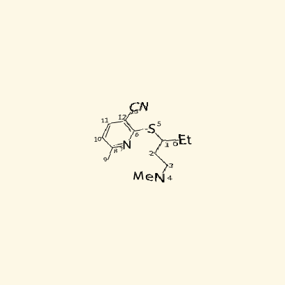 CCC(CCNC)Sc1nc(C)ccc1C#N